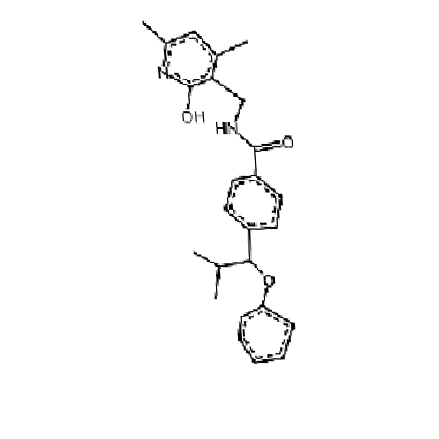 Cc1cc(C)c(CNC(=O)c2ccc(C(Oc3ccccc3)C(C)C)cc2)c(O)n1